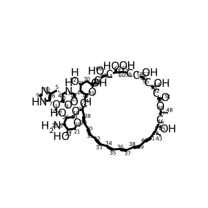 COC(=O)[C@H](Cc1c[nH]cn1)NC(=O)[C@H]1[C@@H]2CC(O[C@@H]3OC[C@@H](O)[C@H](N)[C@H]3O)/C=C/C=C/C=C/C=C/C=C/C=C/C=C/[C@H](C)[C@@H](O)C[C@H](C)OC(=O)CC(O)CC(O)CC[C@@H](O)C(O)CC(O)CC(O)(C[C@@H]1O)O2